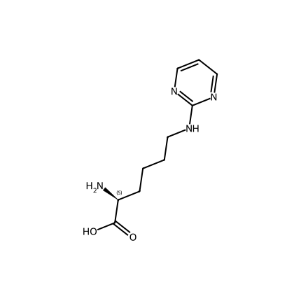 N[C@@H](CCCCNc1ncccn1)C(=O)O